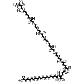 CC(C)(C)C(=O)COCCCCCNC(=O)COCCOCCNC(=O)COCCOCCNC(=O)COCCOCCNC(=O)CC[C@H](NC(=O)CC[C@H](NC(=O)CCCCCCCCCCCCCCCCC(=O)O)C(=O)O)C(=O)O